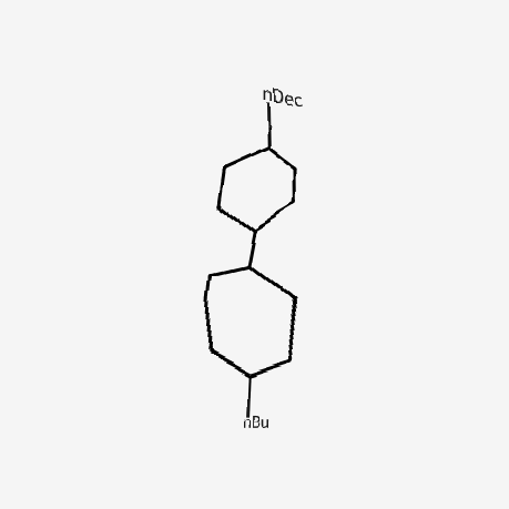 CCCCCCCCCCC1CCC(C2CCC(CCCC)CC2)CC1